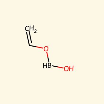 C=COBO